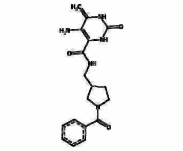 C=C1NC(=O)NC(C(=O)NCC2CCN(C(=O)c3ccccc3)C2)=C1N